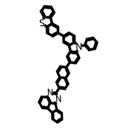 c1ccc(-n2c3ccc(-c4ccc5cc(-c6nc7c8c(cccc8n6)-c6ccccc6-7)ccc5c4)cc3c3cc(-c4ccc5sc6ccccc6c5c4)ccc32)cc1